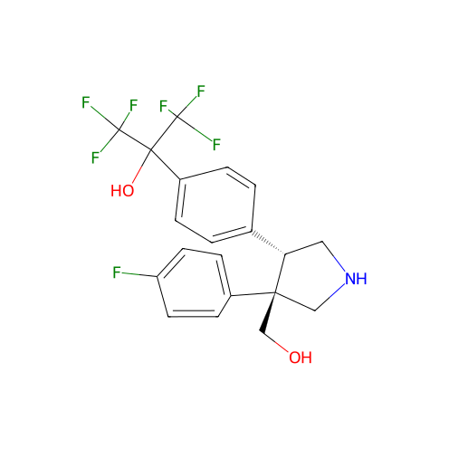 OC[C@]1(c2ccc(F)cc2)CNC[C@H]1c1ccc(C(O)(C(F)(F)F)C(F)(F)F)cc1